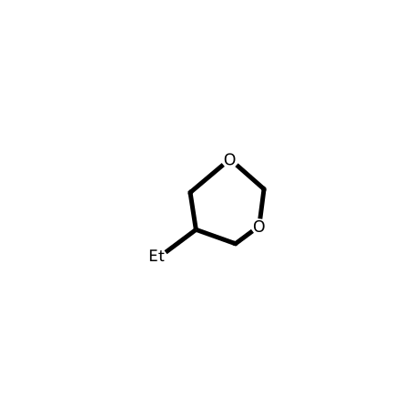 [CH2]CC1COCOC1